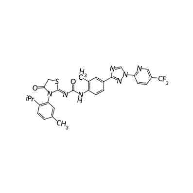 Cc1ccc(C(C)C)c(N2C(=O)CS/C2=N\C(=O)Nc2ccc(-c3ncn(-c4ccc(C(F)(F)F)cn4)n3)cc2C)c1